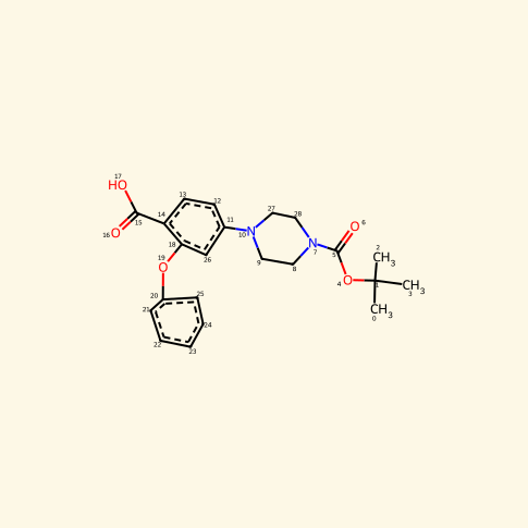 CC(C)(C)OC(=O)N1CCN(c2ccc(C(=O)O)c(Oc3ccccc3)c2)CC1